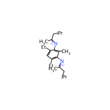 CCc1cc(CC)c(/N=C(\C)CC(C)C)c(C)c1/N=C(\C)CC(C)C